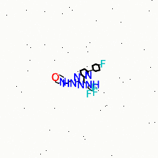 Fc1ccc(-c2ccc3nc(NCCN4CCOCC4)nc(NCC(F)(F)F)c3n2)cc1